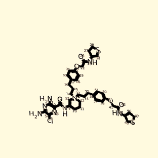 Nc1nc(N)c(C(=O)NC2CCC[N+](CCCc3ccc(OCC(=O)NC4CCSC4)cc3)(CCCc3ccc(OCC(=O)NC4CCSC4)cc3)C2)nc1Cl